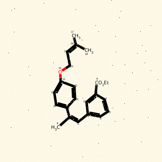 CCOC(=O)c1cccc(C=C(C)c2ccc(OCC=C(C)C)cc2)c1